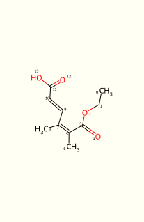 CCOC(=O)C(C)=C(C)C=CC(=O)O